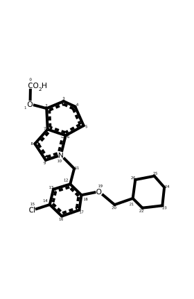 O=C(O)Oc1cccc2c1ccn2Cc1cc(Cl)ccc1OCC1CCCCC1